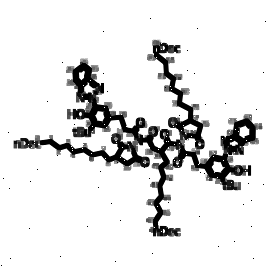 CCCCCCCCCCCCCCCCCCC1CC(=O)N(N(C(=O)CCc2cc(-n3nc4ccccc4n3)c(O)c(C(C)(C)C)c2)C(=O)CC(CCCCCCCCCCCCCCCCCC)C(=O)N(C(=O)CCc2cc(-n3nc4ccccc4n3)c(O)c(C(C)(C)C)c2)N2C(=O)CC(CCCCCCCCCCCCCCCCCC)C2=O)C1=O